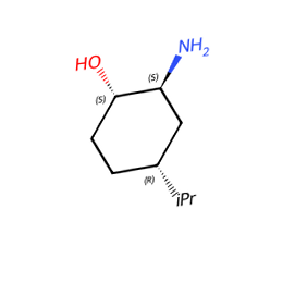 CC(C)[C@@H]1CC[C@H](O)[C@@H](N)C1